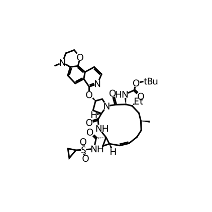 CC[C@@H]1C[C@@H](C)CC/C=C\[C@@H]2C[C@@]2(C(=O)NS(=O)(=O)C2CC2)NC(=O)[C@@H]2C[C@@H](Oc3nccc4c5c(ccc34)N(C)CCO5)CN2C(=O)[C@H]1NC(=O)OC(C)(C)C